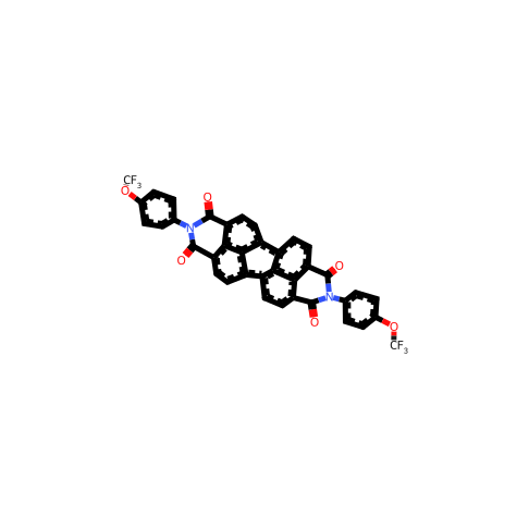 O=C1c2ccc3c4ccc5c6c(ccc(c7ccc(c2c37)C(=O)N1c1ccc(OC(F)(F)F)cc1)c64)C(=O)N(c1ccc(OC(F)(F)F)cc1)C5=O